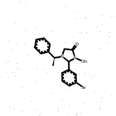 C[C@@H](c1ccccc1)N1CC(=O)N(O)C1c1cccc(Br)c1